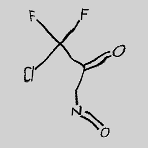 O=NC(=O)C(F)(F)Cl